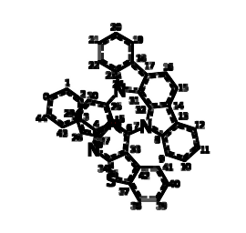 c1ccc(-c2nc(-n3c4ccccc4c4ccc5c6ccccc6n(-c6ccccc6)c5c43)c3c(n2)sc2ccccc23)cc1